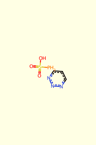 O=S(=O)(O)P.c1cnnnc1